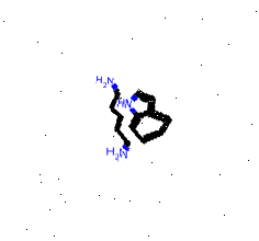 NCCCCCN.c1ccc2[nH]ccc2c1